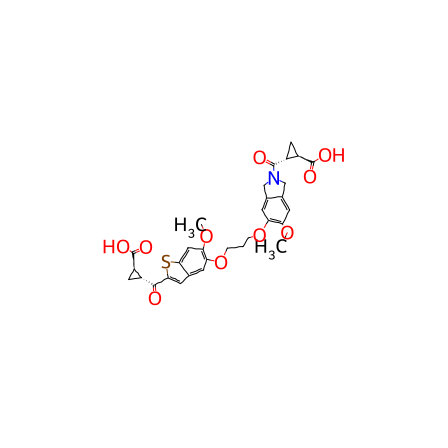 COc1cc2c(cc1OCCCOc1cc3cc(C(=O)[C@@H]4C[C@H]4C(=O)O)sc3cc1OC)CN(C(=O)[C@@H]1C[C@H]1C(=O)O)C2